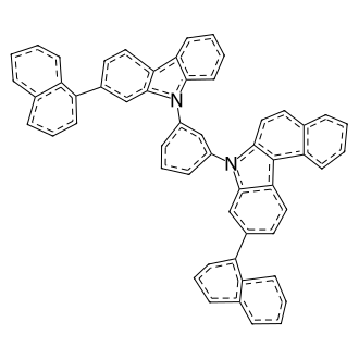 c1cc(-n2c3ccccc3c3ccc(-c4cccc5ccccc45)cc32)cc(-n2c3cc(-c4cccc5ccccc45)ccc3c3c4ccccc4ccc32)c1